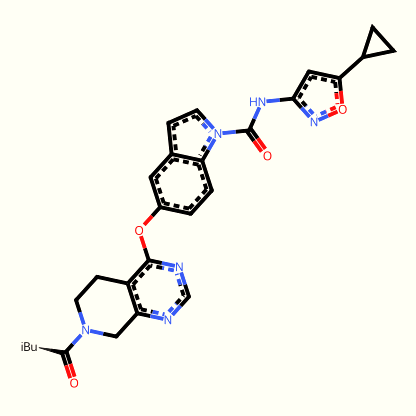 CC[C@H](C)C(=O)N1CCc2c(ncnc2Oc2ccc3c(ccn3C(=O)Nc3cc(C4CC4)on3)c2)C1